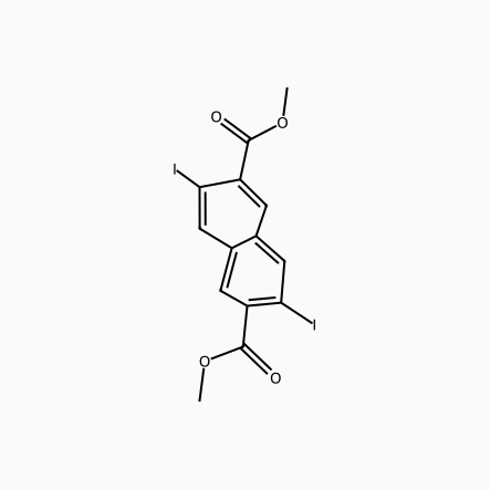 COC(=O)c1cc2cc(I)c(C(=O)OC)cc2cc1I